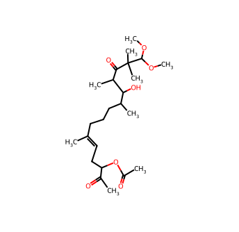 COC(OC)C(C)(C)C(=O)C(C)C(O)C(C)CCCC(C)=CCC(OC(C)=O)C(C)=O